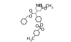 COC(=O)CC(CN)C(C(=O)OCc1ccccc1)c1ccc(OS(=O)(=O)c2ccc(C)cc2)cc1